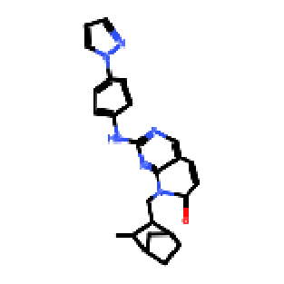 CC1C2CCC(C2)C1Cn1c(=O)ccc2cnc(Nc3ccc(-n4cccn4)cc3)nc21